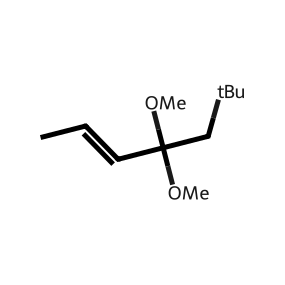 C/C=C/C(CC(C)(C)C)(OC)OC